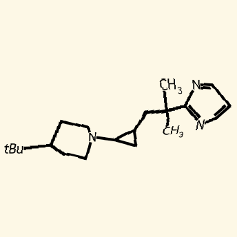 CC(C)(CC1CC1N1CCC(C(C)(C)C)CC1)c1ncccn1